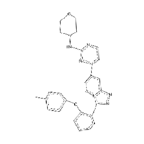 Cc1ccc(Oc2ccccc2-c2nnc3cc(-c4ccnc(NC5CCOCC5)n4)ccn23)cc1